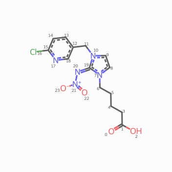 O=C(O)CCCCn1ccn(Cc2ccc(Cl)nc2)c1=N[N+](=O)[O-]